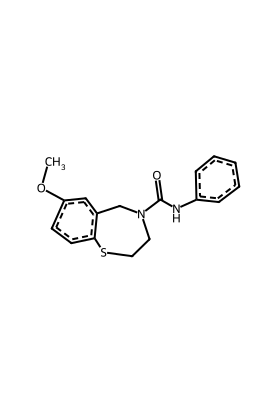 COc1ccc2c(c1)CN(C(=O)Nc1ccccc1)CCS2